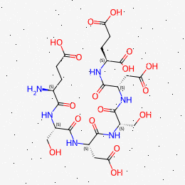 N[C@@H](CCC(=O)O)C(=O)N[C@@H](CO)C(=O)N[C@@H](CC(=O)O)C(=O)N[C@@H](CO)C(=O)N[C@@H](CC(=O)O)C(=O)N[C@@H](CCC(=O)O)C(=O)O